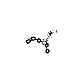 CC(C)(O)C(C)(C)OBC/N=C(\N=C(/N)c1ccc(-c2ccc3sc4ccccc4c3c2)cc1)c1ccc(-c2ccccc2)cc1